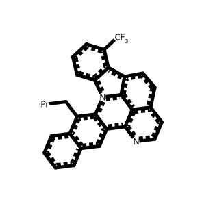 CC(C)Cc1c2ccccc2cc2c3nccc4ccc5c6c(C(F)(F)F)cccc6n(c12)c5c43